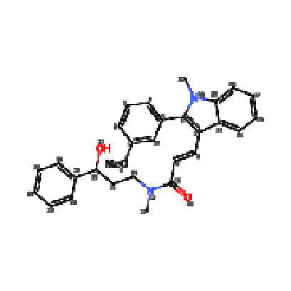 COc1cccc(-c2c(/C=C/C(=O)N(C)CCC(O)c3ccccc3)c3ccccc3n2C)c1